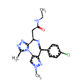 CCNC(=O)CC1N=C(c2ccc(Cl)cc2)c2nn(C)cc2-n2c(C)nnc21